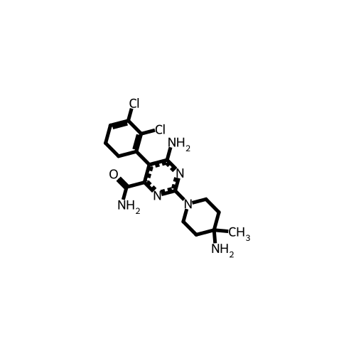 CC1(N)CCN(c2nc(N)c(C3=C(Cl)C(Cl)=CCC3)c(C(N)=O)n2)CC1